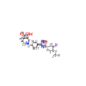 CC(C)Cc1ccc(-c2nc(-c3ccc(CN4CCC(C)(C(=O)O)CC4)cc3)no2)cc1I